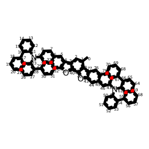 Cc1cc2c3cc4ccc(N(c5ccccc5-c5ccccc5)c5ccccc5-c5ccccc5)cc4cc3oc2c2oc3cc4cc(N(c5ccccc5-c5ccccc5)c5ccccc5-c5ccccc5)ccc4cc3c12